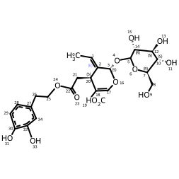 C/C=C1/[C@H](OC2O[C@H](CO)[C@@H](O)[C@H](O)[C@H]2O)OC=C(C(=O)O)[C@H]1CC(=O)OCCc1ccc(O)c(O)c1